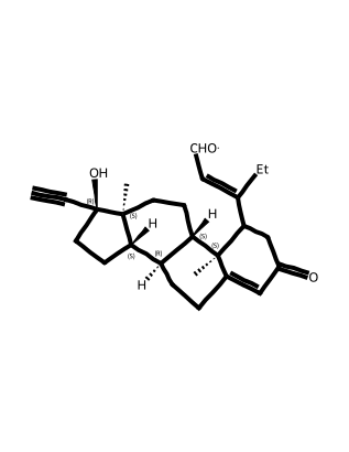 C#C[C@@]1(O)CC[C@H]2[C@@H]3CCC4=CC(=O)CC(C(=C[C]=O)CC)[C@]4(C)[C@H]3CC[C@@]21C